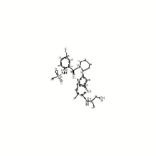 Cc1cn2nc([C@@H]3CCCCN3C(=O)c3cc(Cl)ccc3NS(C)(=O)=O)cc2nc1N[C@H](C)CO